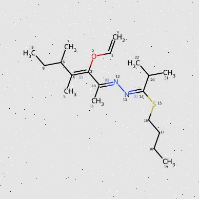 C=COC(=C(/C)C(C)CC)/C(C)=N/N=C(/SCCCC)C(C)C